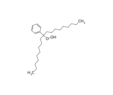 CCCCCCCCCC(CCCCCCCCC)(OO)c1ccccc1